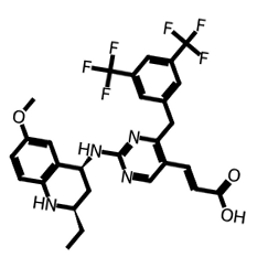 CC[C@@H]1C[C@H](Nc2ncc(C=CC(=O)O)c(Cc3cc(C(F)(F)F)cc(C(F)(F)F)c3)n2)c2cc(OC)ccc2N1